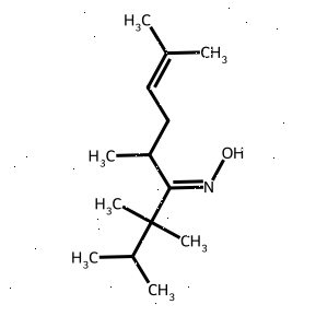 CC(C)=CCC(C)/C(=N\O)C(C)(C)C(C)C